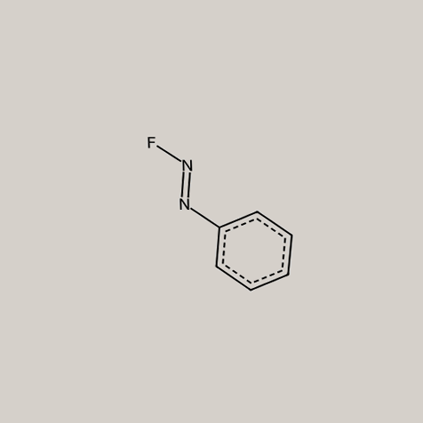 FN=Nc1ccccc1